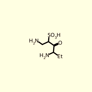 CCC(N)C(=O)C(CN)S(=O)(=O)O